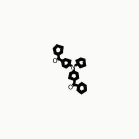 O=C(c1ccccc1)c1ccc(N(c2ccccc2)c2ccc(C(=O)c3ccccc3)cc2)cc1